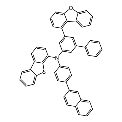 c1ccc(-c2cc(-c3cccc4oc5ccccc5c34)cc(N(c3ccc(-c4ccc5ccccc5c4)cc3)c3cccc4c3sc3ccccc34)c2)cc1